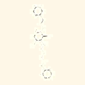 O=c1c(NCCCOCc2ccccc2)c(Cl)cnn1CC=Cc1ccccc1